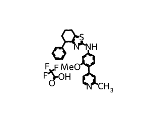 COc1cc(Nc2nc3c(s2)CCCC3c2ccccc2)ccc1-c1ccnc(C)c1.O=C(O)C(F)(F)F